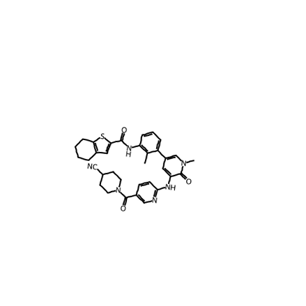 Cc1c(NC(=O)c2cc3c(s2)CCCC3)cccc1-c1cc(Nc2ccc(C(=O)N3CCC(C#N)CC3)cn2)c(=O)n(C)c1